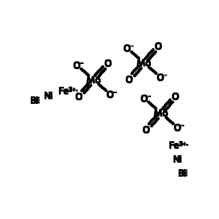 [Bi].[Bi].[Fe+3].[Fe+3].[Ni].[Ni].[O]=[Mo](=[O])([O-])[O-].[O]=[Mo](=[O])([O-])[O-].[O]=[Mo](=[O])([O-])[O-]